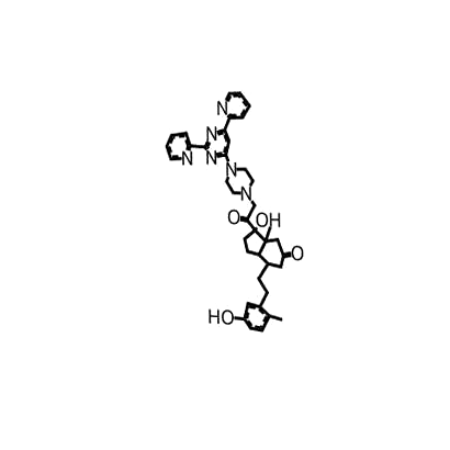 Cc1ccc(O)cc1CCC1CC(=O)CC2(C)C1CCC2(O)C(=O)CN1CCN(c2cc(-c3ccccn3)nc(-c3ccccn3)n2)CC1